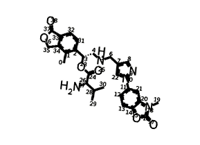 Cc1c([C@H](CNCc2cnn(-c3ccc4oc(=O)n(C)c4c3)c2)OC(=O)[C@H](N)C(C)C)ccc2c1COC2=O